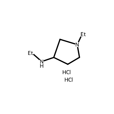 CCNC1CCN(CC)C1.Cl.Cl